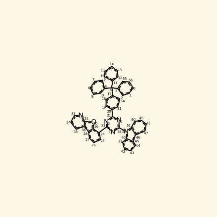 c1ccc(C(c2ccccc2)(c2ccccc2)c2ccc(-c3nc(-c4cccc5c4oc4ncccc45)nc(-n4c5ccccc5c5ccccc54)n3)cc2)cc1